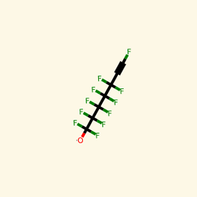 [O]C(F)(F)C(F)(F)C(F)(F)C(F)(F)C(F)(F)C#CF